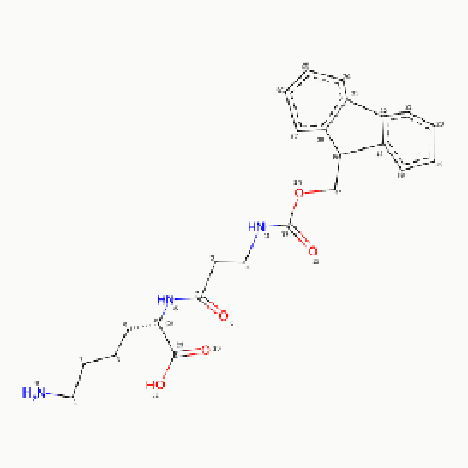 NCCCC[C@H](NC(=O)CCNC(=O)OCC1c2ccccc2-c2ccccc21)C(=O)O